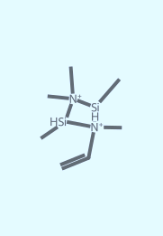 C=C[N+]1(C)[SiH](C)[N+](C)(C)[SiH]1C